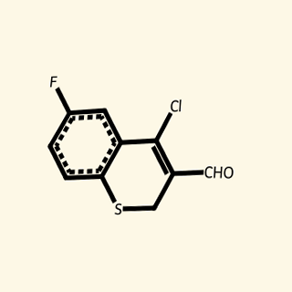 O=CC1=C(Cl)c2cc(F)ccc2SC1